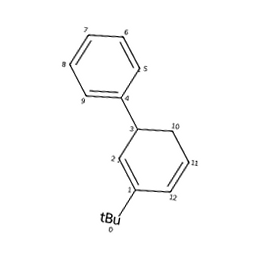 CC(C)(C)C1=[C]C(c2[c]cccc2)CC=C1